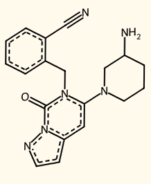 N#Cc1ccccc1Cn1c(N2CCCC(N)C2)cc2ccnn2c1=O